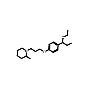 CCOC(CC)c1ccc(OCCCN2CCCCC2C)cc1